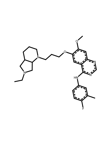 CCN1CC2CCCN(CCCOc3cc4c(Nc5ccc(F)c(C)c5)ncnc4cc3OC)C2C1